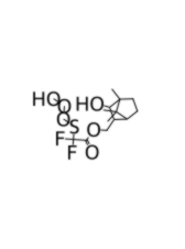 CC1(C)C2CCC1(C)C(O)C2COC(=O)C(F)(F)SOOO